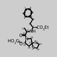 CCOC(=O)[C@H](CCc1ccccc1)NC(C)C(=O)N1CC2(C[C@@H]1OC(=O)O)SCCS2